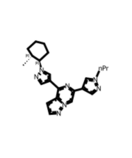 CCCn1cc(-c2cn3nccc3c(-c3cnn([C@@H]4CCCC[C@H]4C)c3)n2)cn1